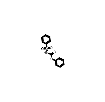 O=C(NS(=O)(=O)c1ccccc1)Oc1ccccc1